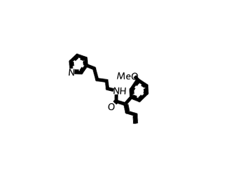 C=C/C=C(/C(=O)NCCCCc1cccnc1)c1cccc(OC)c1